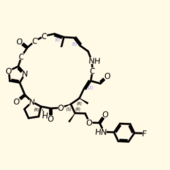 CC1=C\CCC(=O)Cc2nc(co2)C(=O)N2CCC[C@@H]2C(=O)O[C@H]([C@H](C)COC(=O)Nc2ccc(F)cc2)[C@H](C)/C=C(\C=O)CNC\C=C\1